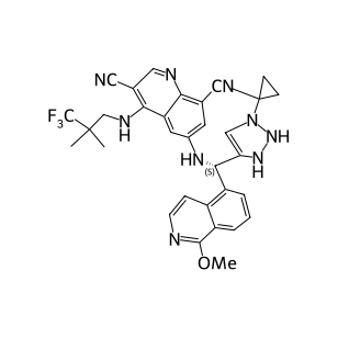 COc1nccc2c([C@H](Nc3cc(C#N)c4ncc(C#N)c(NCC(C)(C)C(F)(F)F)c4c3)C3=CN(C4(C)CC4)NN3)cccc12